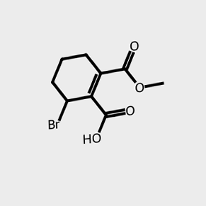 COC(=O)C1=C(C(=O)O)C(Br)CCC1